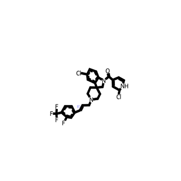 O=C(C1=CC(Cl)NC=C1)N1CC2(CCN(C/C=C/c3ccc(C(F)(F)F)c(F)c3)CC2)c2cc(Cl)ccc21